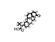 CC(C)(C)N(C(=O)O)C1CCN(C[C@@H]2Cn3c(=O)ccc4ccc(=O)n2c43)CC1